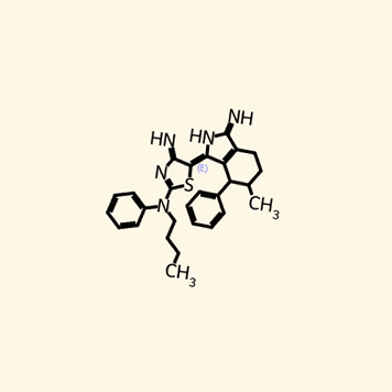 CCCCN(C1=NC(=N)/C(=C2\NC(=N)C3=C2C(c2ccccc2)C(C)CC3)S1)c1ccccc1